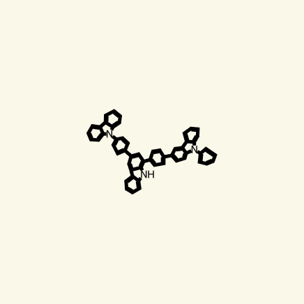 c1ccc(-n2c3ccccc3c3cc(-c4ccc(-c5cc(-c6ccc(-n7c8ccccc8c8ccccc87)cc6)cc6c5[nH]c5ccccc56)cc4)ccc32)cc1